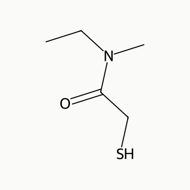 CCN(C)C(=O)CS